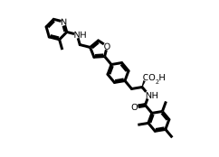 Cc1cc(C)c(C(=O)N[C@@H](Cc2ccc(-c3cc(CNc4ncccc4C)co3)cc2)C(=O)O)c(C)c1